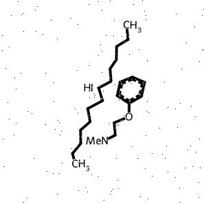 CCCCCCCCCCCCCC.CNCCOc1ccccc1.I